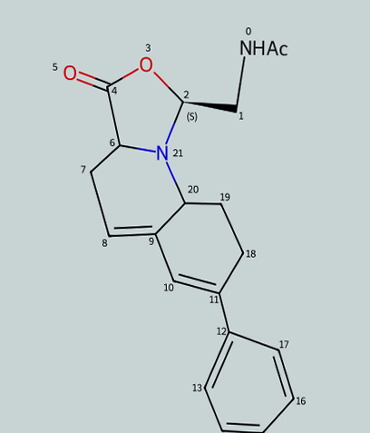 CC(=O)NC[C@@H]1OC(=O)C2CC=C3C=C(c4ccccc4)CCC3N21